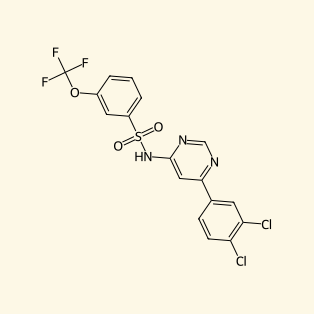 O=S(=O)(Nc1cc(-c2ccc(Cl)c(Cl)c2)ncn1)c1cccc(OC(F)(F)F)c1